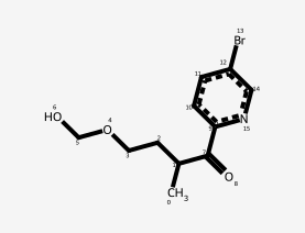 CC(CCOCO)C(=O)c1ccc(Br)cn1